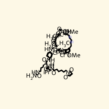 COc1cc2cc(c1Cl)N(C)C(=O)C[C@H](OC(=O)Nc1ccc(NC(=O)[C@H](CCCCNC(N)=O)NC(=O)[C@@H](NC(=O)CCCCCN3C(=O)C=CC3=O)C(C)C)cc1Cl)[C@]1(C)O[C@H]1[C@H](C)[C@@H]1C[C@@](O)(NC(=O)O1)[C@H](OC)/C=C/C=C(\C)C2